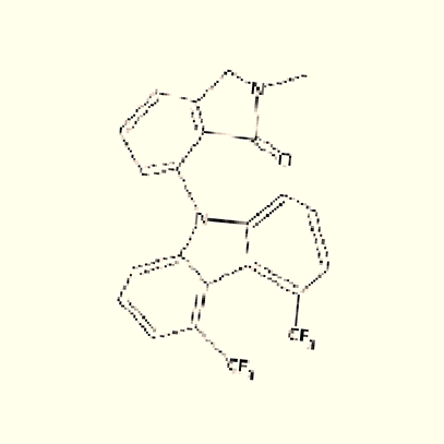 CN1Cc2cccc(-n3c4cccc(C(F)(F)F)c4c4c(C(F)(F)F)cccc43)c2C1=O